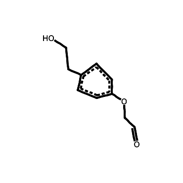 O=CCOc1ccc(CCO)cc1